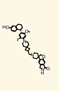 COc1cc(N2CCC3(CC2)CC(CN2CCC4(CC2)COc2cc5c(cc24)CNC5=O)C3)c(F)cc1[C@H]1CCCc2cc(O)ccc21